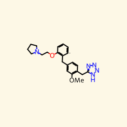 COc1cc(Cc2[c]cccc2OCCN2CCCC2)ccc1Cc1nnn[nH]1